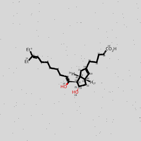 CCC(=CCCCCCC=C(O)[C@H]1[C@@H]2CC(CCCCC(=O)O)=C[C@@H]2C[C@@H]1O)CC